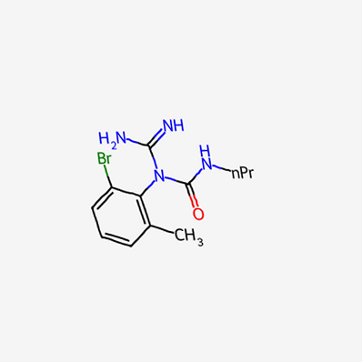 CCCNC(=O)N(C(=N)N)c1c(C)cccc1Br